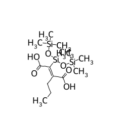 CCC/C(C(=O)O)=C(\C(=O)O)[Si](C)(O[Si](C)(C)C)O[Si](C)(C)C